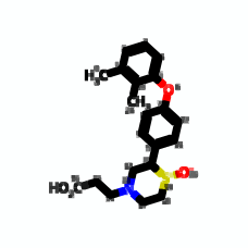 Cc1cccc(Oc2ccc(C3CN(CCC(=O)O)CC[S+]3[O-])cc2)c1C